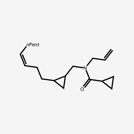 C=CCN(CC1CC1CC/C=C\CCCCC)C(=O)C1CC1